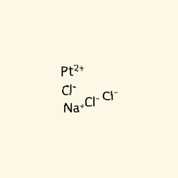 [Cl-].[Cl-].[Cl-].[Na+].[Pt+2]